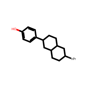 CCCC1CCC2CC(c3ccc(O)cc3)CCC2C1